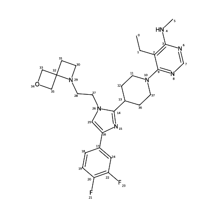 CCc1c(NC)ncnc1N1CCC(c2nc(-c3ccc(F)c(F)c3)cn2CCN2CCC23COC3)CC1